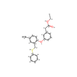 Bc1ccc(Oc2cccc(CC(=O)OCC)c2)c(CSc2ccccc2)c1